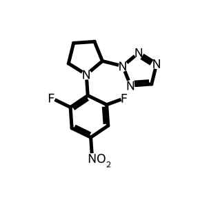 O=[N+]([O-])c1cc(F)c(N2CCCC2n2ncnn2)c(F)c1